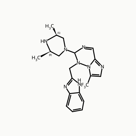 C[C@@H]1CN(C2N=Cc3ncc(C(F)(F)F)n3N2Cc2nc3ccccc3[nH]2)C[C@H](C)N1